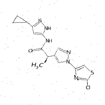 C[C@@H](C(=O)Nc1cc(C2CC2)n[nH]1)c1cnn(-c2csc(Cl)n2)c1